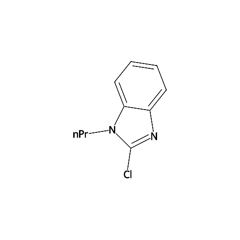 CCCn1c(Cl)nc2ccccc21